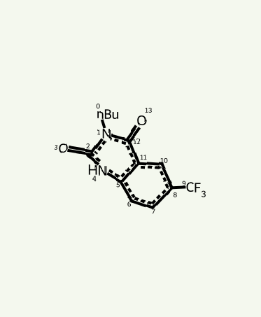 CCCCn1c(=O)[nH]c2ccc(C(F)(F)F)cc2c1=O